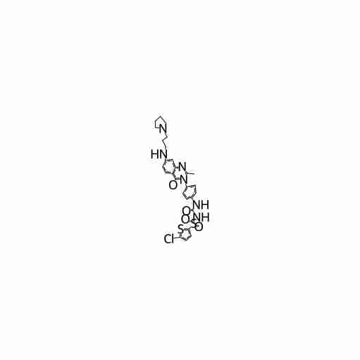 Cc1nc2cc(NCCCN3CCCC3)ccc2c(=O)n1-c1ccc(NC(=O)NS(=O)(=O)c2ccc(Cl)s2)cc1